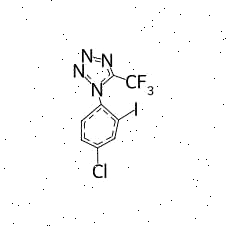 FC(F)(F)c1nnnn1-c1ccc(Cl)cc1I